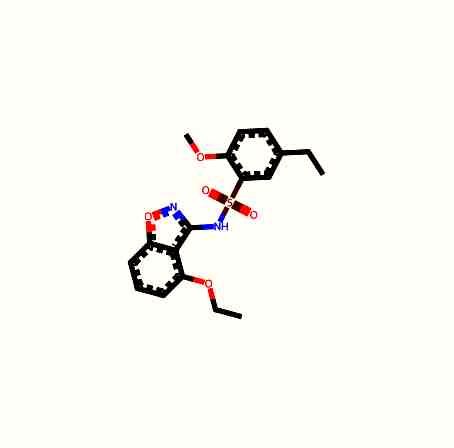 CCOc1cccc2onc(NS(=O)(=O)c3cc(CC)ccc3OC)c12